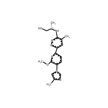 COc1nc(-c2cc(C)c(N[C@@H](C)CO)nn2)ccc1-n1cnc(C)c1